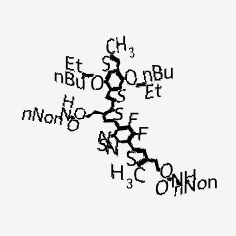 CCCCCCCCCNC(=O)OCCc1cc(-c2c(F)c(F)c(-c3cc(CCOC(=O)NCCCCCCCCC)c(-c4cc5c(OCC(CC)CCCC)c6sc(C)cc6c(OCC(CC)CCCC)c5s4)s3)c3nsnc23)sc1C